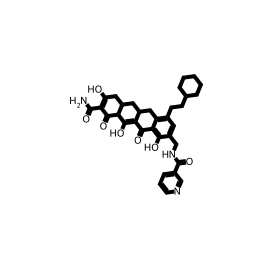 NC(=O)C1=C(O)CC2CC3Cc4c(CCC5CCCCC5)cc(CNC(=O)c5cccnc5)c(O)c4C(=O)C3=C(O)C2C1=O